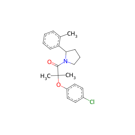 Cc1ccccc1C1CCCN1C(=O)C(C)(C)Oc1ccc(Cl)cc1